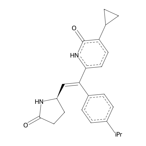 CC(C)c1ccc(/C(=C\[C@H]2CCC(=O)N2)c2ccc(C3CC3)c(=O)[nH]2)cc1